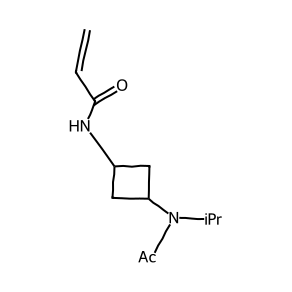 C=CC(=O)NC1CC(N(C(C)=O)C(C)C)C1